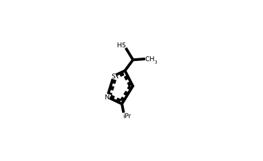 CC(C)c1cc(C(C)S)sn1